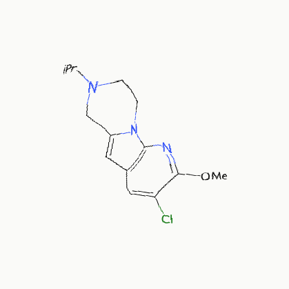 COc1nc2c(cc1Cl)cc1n2CCN(C(C)C)C1